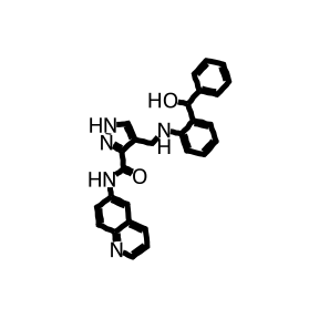 O=C(Nc1ccc2ncccc2c1)c1n[nH]cc1CNc1ccccc1C(O)c1ccccc1